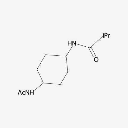 CC(=O)NC1CCC(NC(=O)C(C)C)CC1